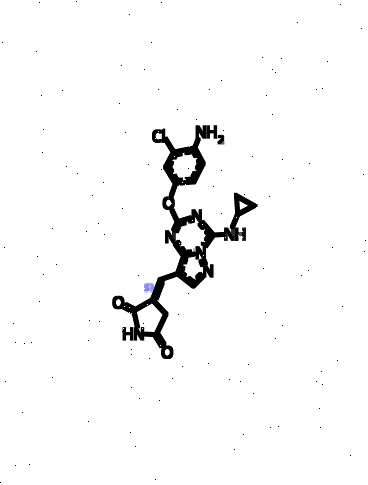 Nc1ccc(Oc2nc(NC3CC3)n3ncc(/C=C4\CC(=O)NC4=O)c3n2)cc1Cl